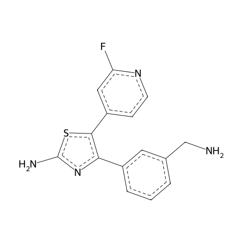 NCc1cccc(-c2nc(N)sc2-c2ccnc(F)c2)c1